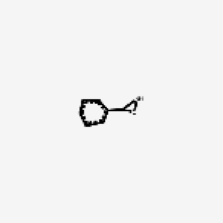 c1ccc([C]2NO2)cc1